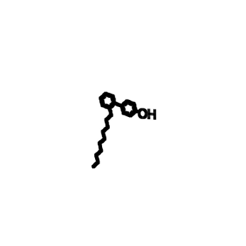 CCCCCCCCCCc1ccccc1-c1ccc(O)cc1